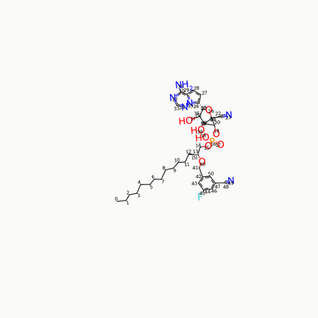 CCCCCCCCCCCCC[C@@H](COP(=O)(O)OC1[C@@]2(C#N)O[C@@H](c3ccc4c(N)ncnn34)[C@H](O)[C@@]12O)OCc1cc(F)cc(C#N)c1